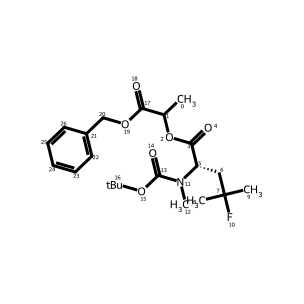 CC(OC(=O)[C@H](CC(C)(C)F)N(C)C(=O)OC(C)(C)C)C(=O)OCc1ccccc1